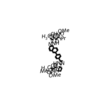 COC(=O)N[C@H](C(=O)N1C[Si](C)(C)C[C@H]1c1nc2ccc3cc(-c4ccc(-c5cnc([C@@H]6CCCN6C(=O)[C@@H](NC(=O)OC)C(C)(C)OC)[nH]5)cc4)ccc3c2[nH]1)C(C)C